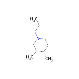 CCCN1CC[C@H](C)C(C)C1